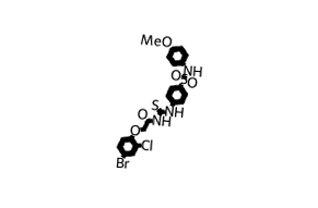 COc1ccc(NS(=O)(=O)c2ccc(NC(=S)NC(=O)COc3ccc(Br)cc3Cl)cc2)cc1